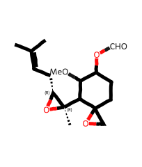 COC1C(OC=O)CCC2(CO2)C1[C@@]1(C)O[C@@H]1CC=C(C)C